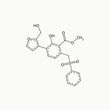 COC(=O)c1c(CS(=O)(=O)c2ccccc2)ccc(-c2ccoc2CO)c1O